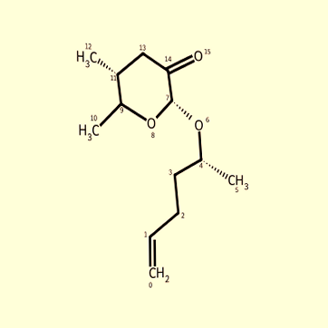 C=CCC[C@@H](C)O[C@@H]1OC(C)[C@H](C)CC1=O